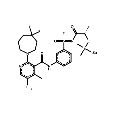 Cc1c(C(F)(F)F)cnc(N2CCCC(F)(F)CC2)c1C(=O)Nc1cccc([S@@](C)(=O)=NC(=O)[C@H](C)O[Si](C)(C)C(C)(C)C)c1